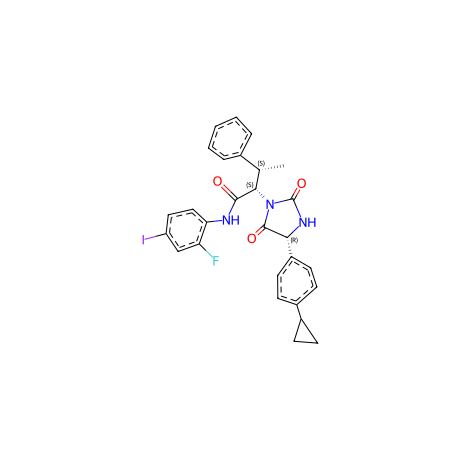 C[C@@H](c1ccccc1)[C@@H](C(=O)Nc1ccc(I)cc1F)N1C(=O)N[C@H](c2ccc(C3CC3)cc2)C1=O